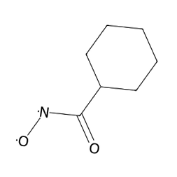 [O][N]C(=O)C1CCCCC1